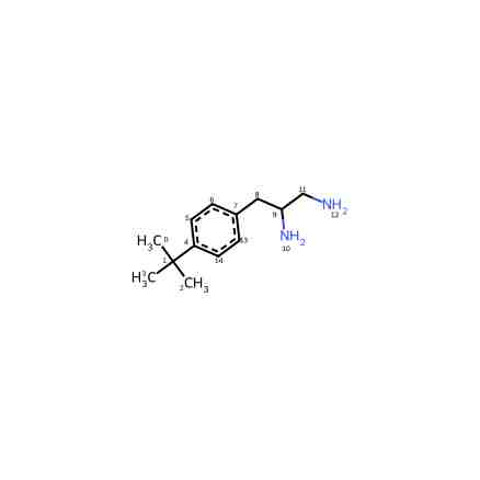 CC(C)(C)c1ccc(CC(N)CN)cc1